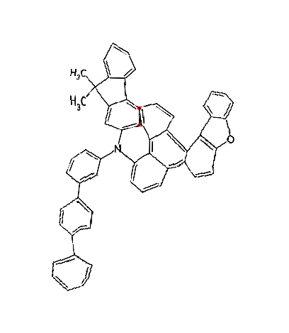 CC1(C)c2ccccc2-c2ccc(N(c3cccc(-c4ccc(-c5ccccc5)cc4)c3)c3cccc4c5ccc6oc7ccccc7c6c5c5ccccc5c34)cc21